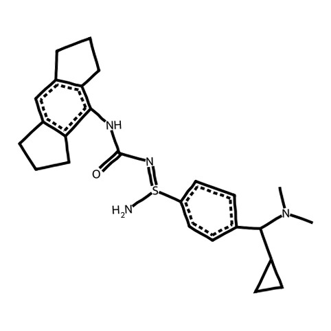 CN(C)C(c1ccc(/S(N)=N/C(=O)Nc2c3c(cc4c2CCC4)CCC3)cc1)C1CC1